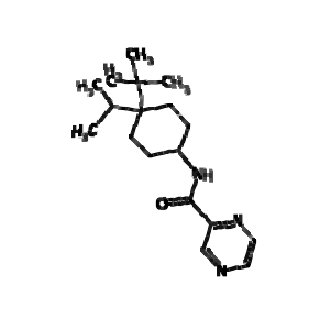 CC(C)C1(C(C)(C)C)CCC(NC(=O)c2cnccn2)CC1